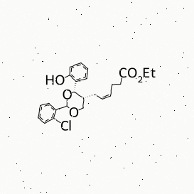 CCOC(=O)CC/C=C\C[C@@H]1COC(c2ccccc2Cl)O[C@@H]1c1ccccc1O